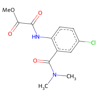 COC(=O)C(=O)Nc1ccc(Cl)cc1C(=O)N(C)C